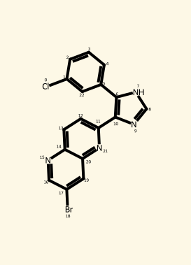 Clc1cccc(-c2[nH]cnc2-c2ccc3ncc(Br)cc3n2)c1